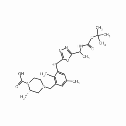 Cc1cc(CN2CCN(C(=O)O)[C@@H](C)C2)c(C)c(Nc2nnc(C(C)NC(=O)OC(C)(C)C)o2)c1